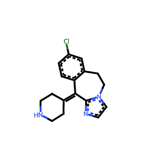 Clc1ccc2c(c1)CCn1ccnc1C2=C1CCNCC1